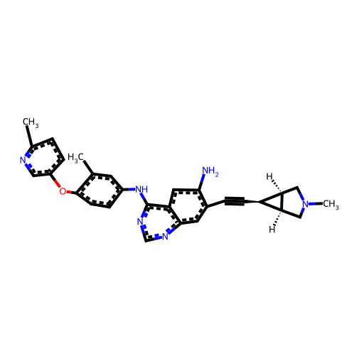 Cc1ccc(Oc2ccc(Nc3ncnc4cc(C#C[C@H]5[C@H]6CN(C)C[C@@H]56)c(N)cc34)cc2C)cn1